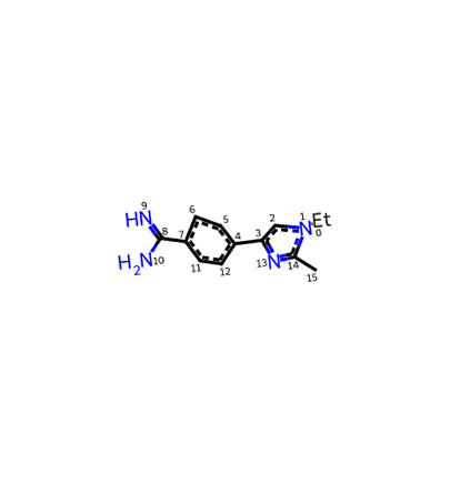 CCn1cc(-c2ccc(C(=N)N)cc2)nc1C